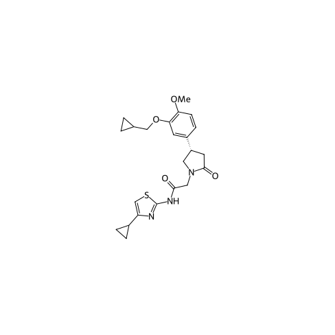 COc1ccc([C@@H]2CC(=O)N(CC(=O)Nc3nc(C4CC4)cs3)C2)cc1OCC1CC1